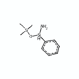 C[Si](C)(C)O[SiH](N)c1ccccc1